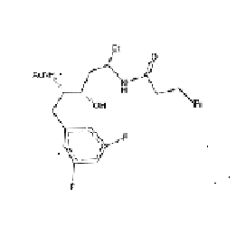 CCC(C[C@H](O)[C@H](Cc1cc(F)cc(F)c1)NC(C)=O)NC(=O)CCC(C)C